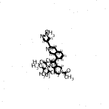 CC(=O)N1CCc2c(c(-c3cccc4cc(-c5cnn(C)c5)ncc34)cn2S(C(C)C)(C(C)C)C(C)C)C1